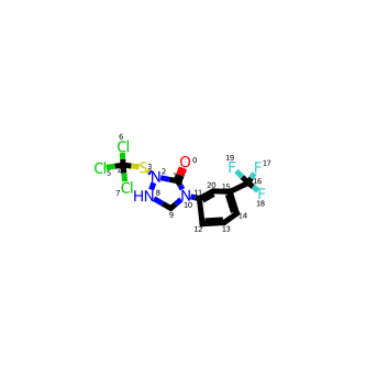 O=C1N(SC(Cl)(Cl)Cl)NCN1c1cccc(C(F)(F)F)c1